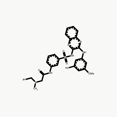 COc1cc(O)cc(Nc2nc3ccccc3nc2NS(=O)(=O)c2cccc(NC(=O)CN(C)CC(C)C)c2)c1